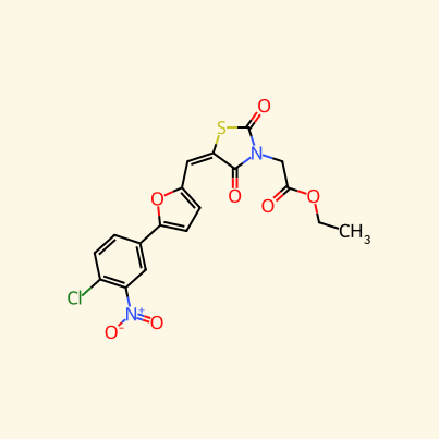 CCOC(=O)CN1C(=O)S/C(=C/c2ccc(-c3ccc(Cl)c([N+](=O)[O-])c3)o2)C1=O